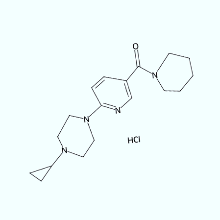 Cl.O=C(c1ccc(N2CCN(C3CC3)CC2)nc1)N1CCCCC1